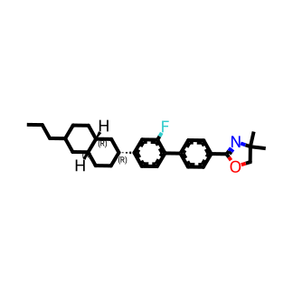 CCCC1CC[C@@H]2C[C@H](c3ccc(-c4ccc(C5=NC(C)(C)CO5)cc4)c(F)c3)CC[C@@H]2C1